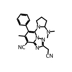 Cc1c(-c2ccccc2)c(N2CCCC2N(C)C)n2nc(CC#N)nc2c1C#N